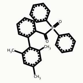 Cc1cc(C)c(-c2ccccc2C(=O)P(=O)(c2ccccc2)c2ccccc2)c(C)c1